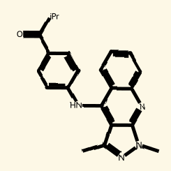 Cc1nn(C)c2nc3ccccc3c(Nc3ccc(C(=O)C(C)C)cc3)c12